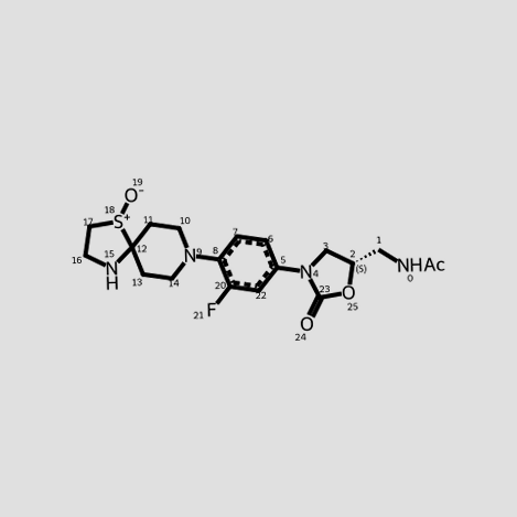 CC(=O)NC[C@H]1CN(c2ccc(N3CCC4(CC3)NCC[S+]4[O-])c(F)c2)C(=O)O1